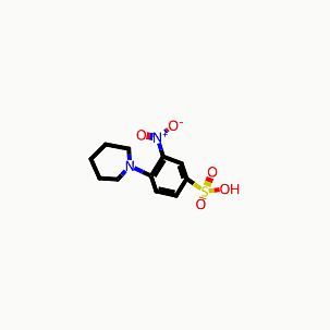 O=[N+]([O-])c1cc(S(=O)(=O)O)ccc1N1CCCCC1